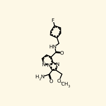 COCc1nc2c(C(=O)NCc3ccc(F)cc3)ccnn2c1C(N)=O